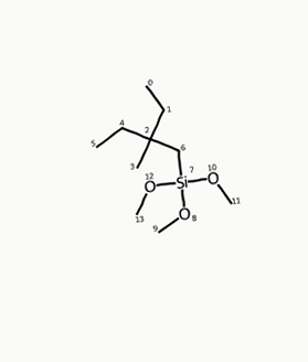 CCC(C)(CC)C[Si](OC)(OC)OC